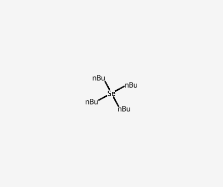 CCCC[Se](CCCC)(CCCC)CCCC